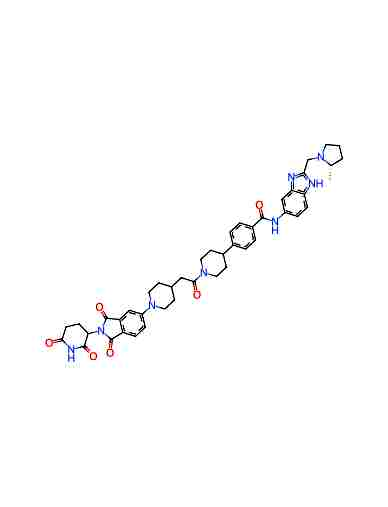 C[C@H]1CCCN1Cc1nc2cc(NC(=O)c3ccc(C4CCN(C(=O)CC5CCN(c6ccc7c(c6)C(=O)N(C6CCC(=O)NC6=O)C7=O)CC5)CC4)cc3)ccc2[nH]1